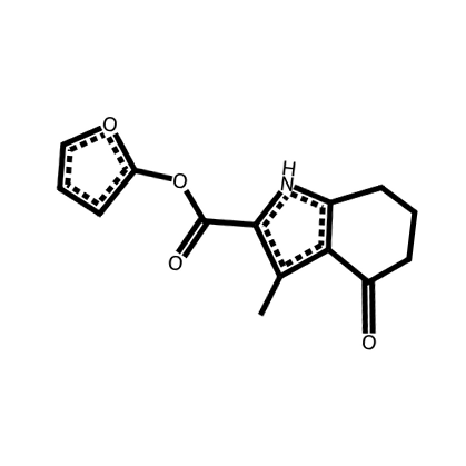 Cc1c(C(=O)Oc2ccco2)[nH]c2c1C(=O)CCC2